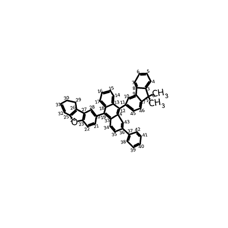 CC1(C)c2ccccc2-c2cc(-c3c4ccccc4c(-c4ccc5oc6c(c5c4)CCC=C6)c4ccc(-c5ccccc5)cc34)ccc21